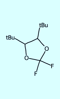 CC(C)(C)C1OC(F)(F)OC1C(C)(C)C